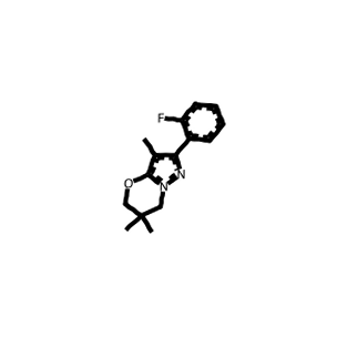 Cc1c(-c2ccccc2F)nn2c1OCC(C)(C)C2